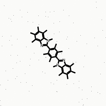 Cc1c(C)c(-c2nc3c(C)c(C)c(C)c(C)c3n2C)c(C)c(C)c1-c1nc2c(C)c(C)c(C)c(C)c2n1C